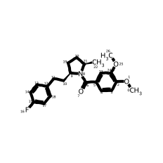 COc1ccc(C(=O)N2[C@@H](CCc3ccc(F)cc3)CC[C@H]2C)cc1OC